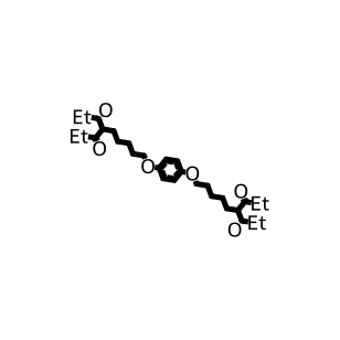 CCC(=O)C(CCCCCOc1ccc(OCCCCCC(C(=O)CC)C(=O)CC)cc1)C(=O)CC